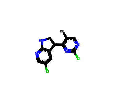 CCc1cnc(Cl)nc1C1CNc2ncc(Cl)cc21